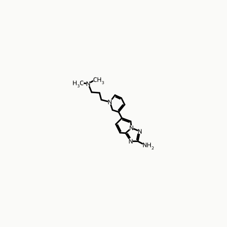 CN(C)CCCN1C=CC=C(c2ccc3nc(N)nn3c2)C1